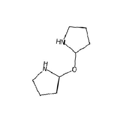 C1CNC(OC2CCCN2)C1